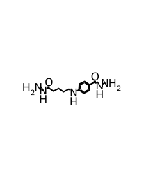 NNC(=O)CCCCNc1ccc(C(=O)NN)cc1